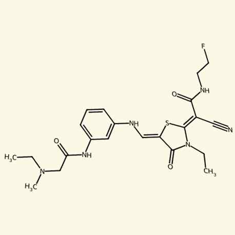 CCN(C)CC(=O)Nc1cccc(NC=c2sc(=C(C#N)C(=O)NCCF)n(CC)c2=O)c1